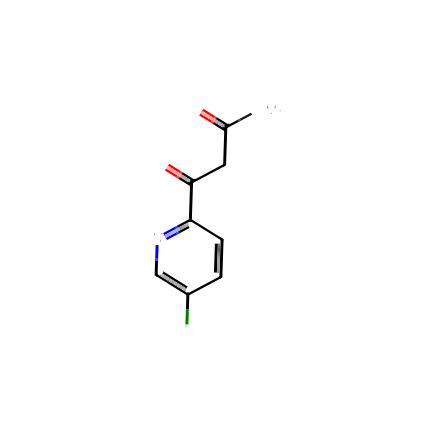 COC(=O)CC(=O)c1ccc(Br)cn1